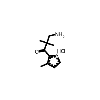 Cc1ccsc1C(=O)C(C)(C)CN.Cl